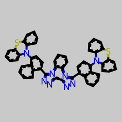 c1ccc2c(c1)Sc1ccccc1N2c1ccc(-c2nnc3c4nnc(-c5ccc(N6c7ccccc7Sc7ccccc76)c6ccccc56)n4c4ccccc4n23)c2ccccc12